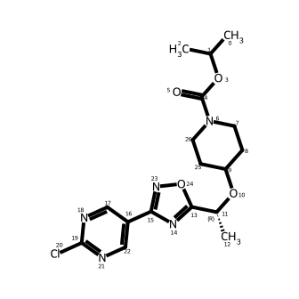 CC(C)OC(=O)N1CCC(O[C@H](C)c2nc(-c3cnc(Cl)nc3)no2)CC1